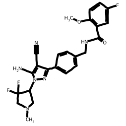 COc1ccc(F)cc1C(=O)NCc1ccc(-c2nn(C3CN(C)CC3(F)F)c(N)c2C#N)cc1